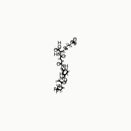 CC(NC(=O)c1ccnc(CNC(=O)CCC(=O)NC(CSSCCOC(=O)F)C(=O)O)c1)C(=O)N1CCC(F)(F)C1